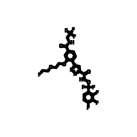 O=C(NCC(F)(F)F)c1ccc(-n2cc(C(=O)NOC(F)(F)c3ccc(F)c(F)c3F)nn2)c(OCCOCCF)c1